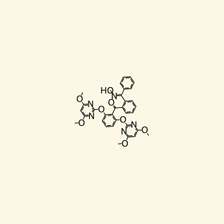 COc1cc(OC)nc(Oc2cccc(Oc3nc(OC)cc(OC)n3)c2C(=O)c2ccccc2C(=NO)c2ccccc2)n1